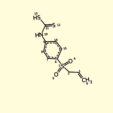 C=CCS(=O)(=O)c1ccc(NC(=S)S)cc1